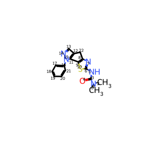 CN(C)C(=O)Nc1nc2c(s1)-c1c(cnn1-c1ccccc1)C2